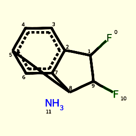 FC1c2ccc3cc2C3C1F.N